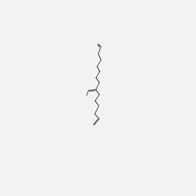 C=CCCCCCCC(=CC)CCCCC=C